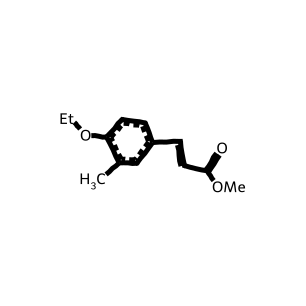 CCOc1ccc(/C=C/C(=O)OC)cc1C